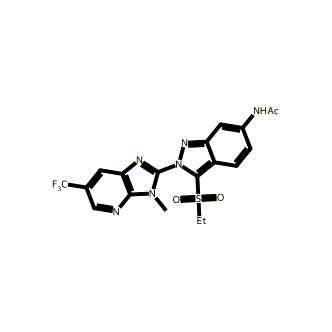 CCS(=O)(=O)c1c2ccc(NC(C)=O)cc2nn1-c1nc2cc(C(F)(F)F)cnc2n1C